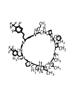 CCO[C@@H]1CNCC2(CCC2)NC(C)[C@H](C2CCCC2)N2C(C)[C@@H](C)C2CNC(C)[C@H](CC(C)C)NC[C@H]([C@@H](C)CC)NC(C)[C@H](C)N2CCCC2=CN(CC)C(Cc2ccc(C(F)(F)F)cc2)=CN(C)C=CN=C(CCc2cc(F)c(C(F)(F)F)c(F)c2)C=CN1